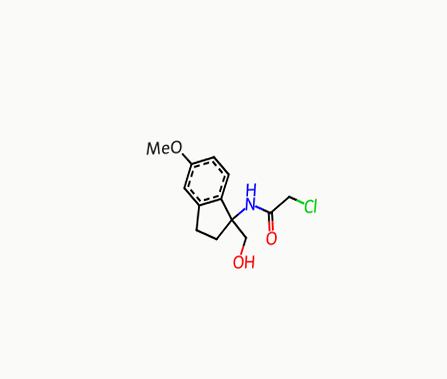 COc1ccc2c(c1)CCC2(CO)NC(=O)CCl